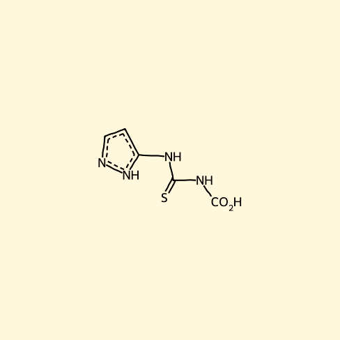 O=C(O)NC(=S)Nc1ccn[nH]1